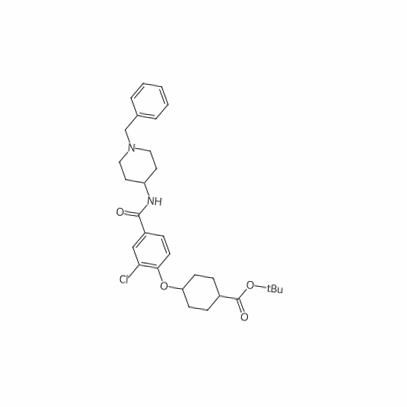 CC(C)(C)OC(=O)C1CCC(Oc2ccc(C(=O)NC3CCN(Cc4ccccc4)CC3)cc2Cl)CC1